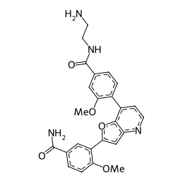 COc1ccc(C(N)=O)cc1-c1cc2nccc(-c3ccc(C(=O)NCCN)cc3OC)c2o1